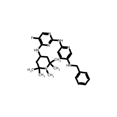 CN1C(C)(C)CC(Nc2nc(Nc3ccc(NCc4ccccc4)cn3)ncc2F)CC1(C)C